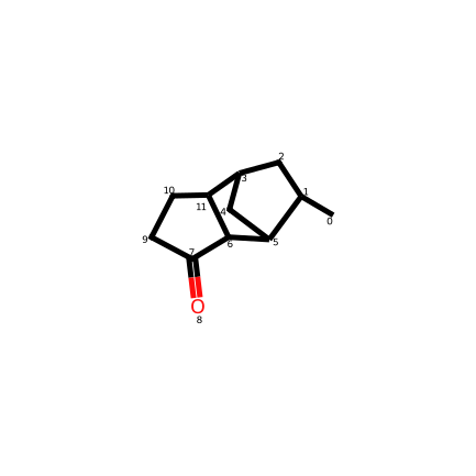 CC1CC2CC1C1C(=O)CCC21